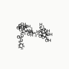 CO[C@H]1C(OP(=O)(O)OC)[C@@H](COC(=O)OCc2ccccc2)C[C@@H]1NC(=O)NCCCCO[C@@H]1O[C@H](CO)[C@H](O)[C@H](O)[C@H]1NC(C)=O